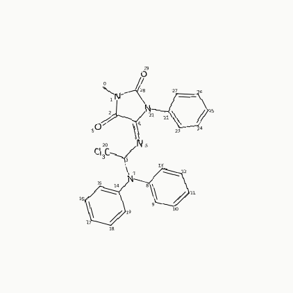 CN1C(=O)C(=NC(N(c2ccccc2)c2ccccc2)C(Cl)(Cl)Cl)N(c2ccccc2)C1=O